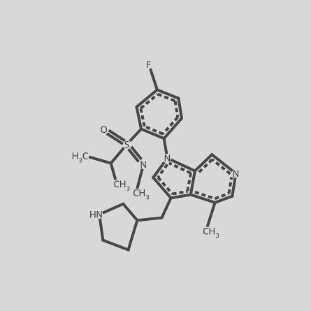 CN=S(=O)(c1cc(F)ccc1-n1cc(CC2CCNC2)c2c(C)cncc21)C(C)C